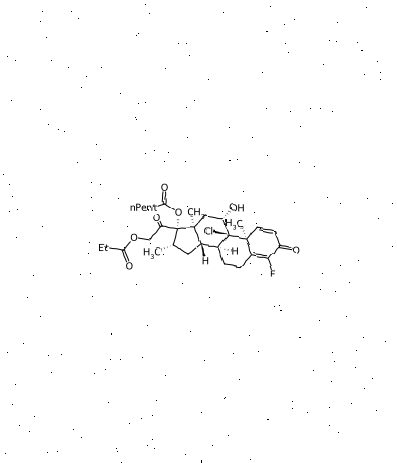 CCCCCC(=O)O[C@@]1(C(=O)COC(=O)CC)[C@@H](C)C[C@H]2[C@@H]3CCC4=C(F)C(=O)C=C[C@]4(C)[C@@]3(Cl)[C@@H](O)C[C@@]21C